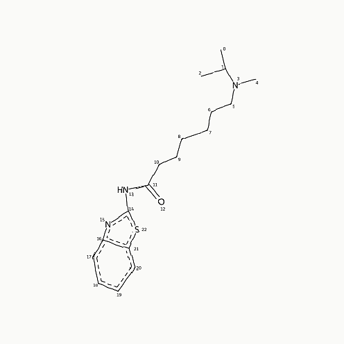 CC(C)N(C)CCCCCCC(=O)Nc1nc2ccccc2s1